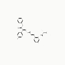 C/N=C(Cc1ccccc1)\C(=C(/C)NC(=O)/C=C(\C)c1ccc(C)cc1OC(=O)[C@@H](N)C(C)C)c1ccc(Cl)cc1